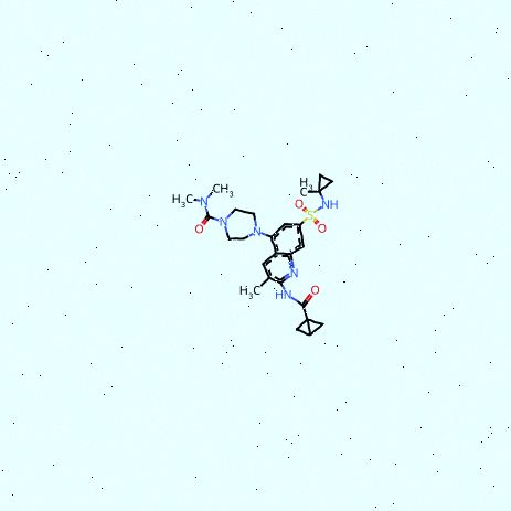 Cc1cc2c(N3CCN(C(=O)N(C)C)CC3)cc(S(=O)(=O)NC3(C)CC3)cc2nc1NC(=O)C12CC1C2